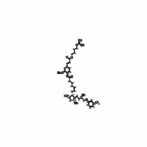 COc1cc(/C=C/C(=O)OCCCCON(O)O)ccc1OC(=O)CCC/C=C\C[C@@H]1[C@@H](CC[C@@H](O)COc2cccc(C(F)(F)F)c2)[C@H](O)C[C@@H]1O